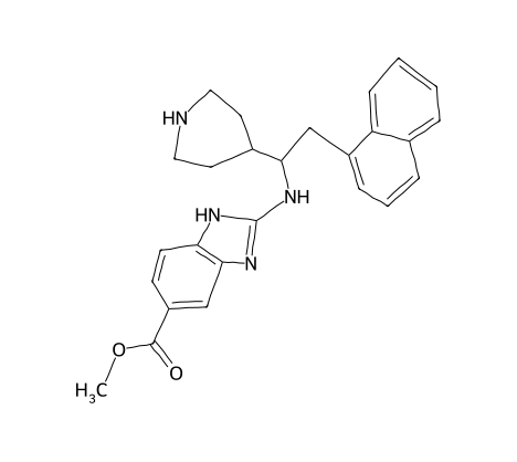 COC(=O)c1ccc2[nH]c(NC(Cc3cccc4ccccc34)C3CCNCC3)nc2c1